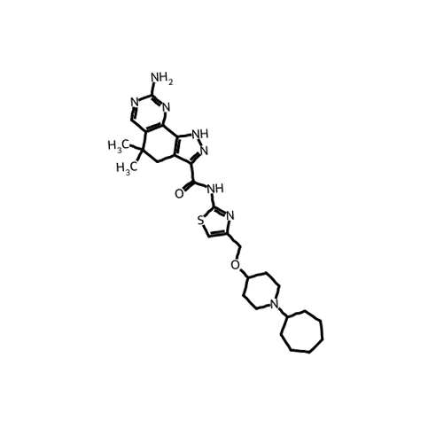 CC1(C)Cc2c(C(=O)Nc3nc(COC4CCN(C5CCCCCC5)CC4)cs3)n[nH]c2-c2nc(N)ncc21